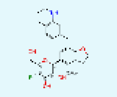 COc1c([C@@H]2O[C@H](CO)[C@@H](F)[C@H](O)[C@H]2O)cc(Cc2ccc3c(c2)NCCC3)c2c1CCO2